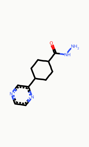 NNC(=O)C1CCC(c2cnccn2)CC1